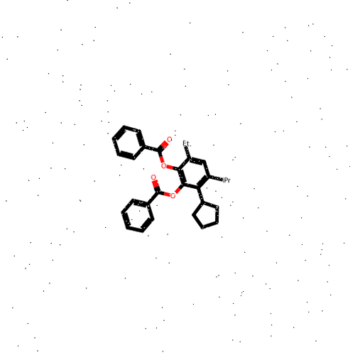 CCc1cc(C(C)C)c(C2CCCC2)c(OC(=O)c2ccccc2)c1OC(=O)c1ccccc1